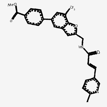 COC(=O)c1ccc(-c2cc(C(F)(F)F)c3oc(CNC(=O)/C=C/c4ccc(C)nc4)cc3c2)cc1